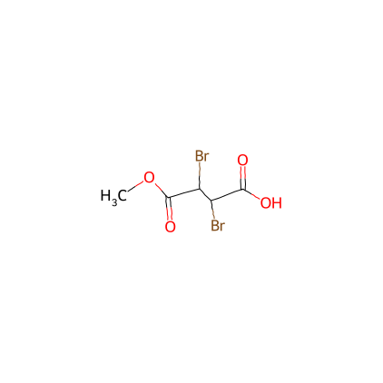 COC(=O)C(Br)C(Br)C(=O)O